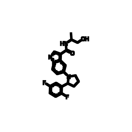 CC(CO)NC(=O)c1cnn2ccc(N3CCCC3c3cc(F)ccc3F)cc12